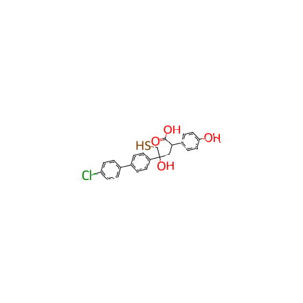 O=C(O)C(CC(O)(CS)c1ccc(-c2ccc(Cl)cc2)cc1)c1ccc(O)cc1